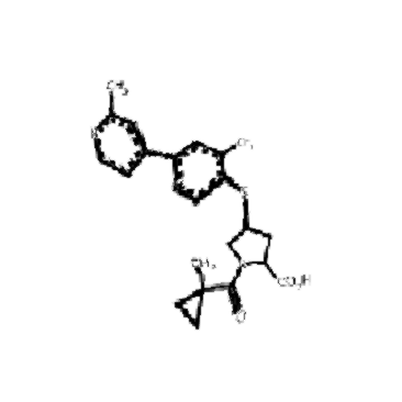 Cc1cc(-c2ccc(SC3CC(C(=O)O)N(C(=O)C4(C)CC4)C3)c(C(F)(F)F)c2)ccn1